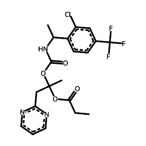 CCC(=O)OC(C)(Cc1ncccn1)OC(=O)NC(C)c1ccc(C(F)(F)F)cc1Cl